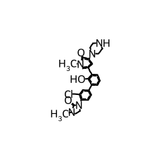 CN1CCN(c2ccc(-c3cccc(-c4cc(N5CCNCC5)c(=O)n(C)c4)c3O)cc2Cl)C1=O